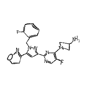 NC1CN(c2nc(-c3cc(-c4ccon4)n(Cc4ccccc4F)n3)ncc2F)C1